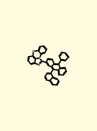 c1ccc(-c2c3ccccc3c(-c3cccc4ccccc34)c3cc(-c4nc5cccc6c5n4-c4ccccc4O6)ccc23)cc1